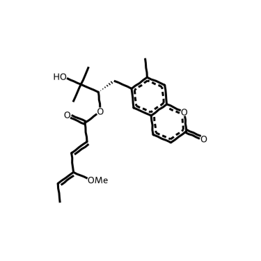 C/C=C(/C=C/C(=O)O[C@@H](Cc1cc2ccc(=O)oc2cc1C)C(C)(C)O)OC